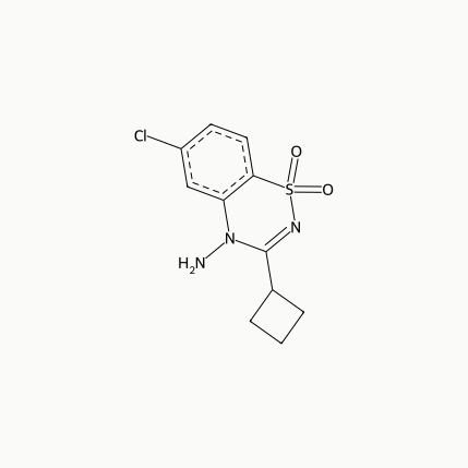 NN1C(C2CCC2)=NS(=O)(=O)c2ccc(Cl)cc21